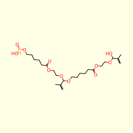 C=C(C)C(O)OCCOC(=O)CCCCCOC(OCCOC(=O)CCCCCO[PH](=O)O)C(=C)C